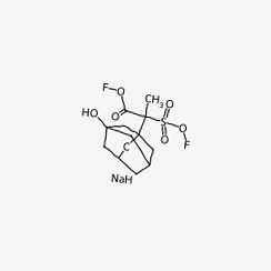 CC(C(=O)OF)(C12CC3CC(CC(O)(C3)C1)C2)S(=O)(=O)OF.[NaH]